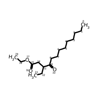 CCCCCCCCCC(=O)C(CC)CC(=O)OCC